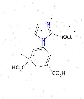 CC1(C(=O)O)C=CC=C(C(=O)O)C1.CCCCCCCCc1ncc[nH]1